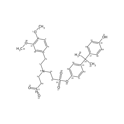 COc1ccc(CCN(CC[SH](=O)=O)CCS(=O)(=O)Oc2ccc(C(C)(C)c3ccc(O)cc3)cc2)cc1OC